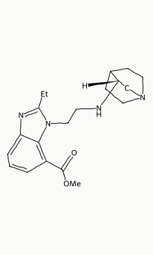 CCc1nc2cccc(C(=O)OC)c2n1CCN[C@H]1CN2CCC1CC2